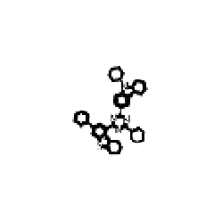 C1=CCCC(c2nc(-c3ccc4c(c3)c3ccccc3n4-c3ccccc3)nc(-c3cc(-c4ccccc4)cc4sc5ccccc5c34)n2)=C1